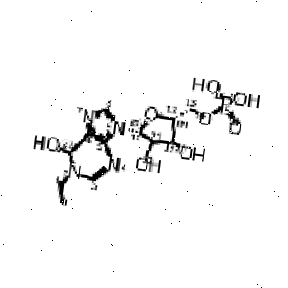 CCN1C=Nc2c(ncn2[C@@H]2O[C@H](COP(=O)(O)O)C(O)C2O)C1O